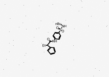 CCCCNS(=O)(=O)c1ccc(NC(=O)C(CC)c2ccccc2)cc1